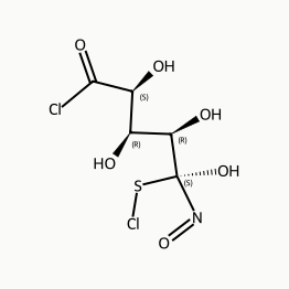 O=N[C@@](O)(SCl)[C@H](O)[C@@H](O)[C@H](O)C(=O)Cl